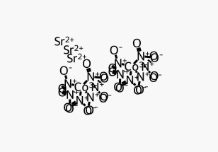 O=[N+]([O-])[Co-3]([N+](=O)[O-])([N+](=O)[O-])([N+](=O)[O-])([N+](=O)[O-])[N+](=O)[O-].O=[N+]([O-])[Co-3]([N+](=O)[O-])([N+](=O)[O-])([N+](=O)[O-])([N+](=O)[O-])[N+](=O)[O-].[Sr+2].[Sr+2].[Sr+2]